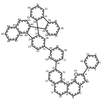 c1ccc(-c2nc3ccc4ccc5ccc(-c6cccc(-c7ccc8c(c7)C7(c9ccccc9-c9ccccc97)c7ccc9ccccc9c7-8)n6)cc5c4c3o2)cc1